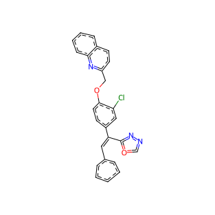 Clc1cc(C(=Cc2ccccc2)c2nnco2)ccc1OCc1ccc2ccccc2n1